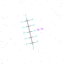 FC(F)(F)C(F)(F)C(F)(F)C(F)(F)C(F)(F)F.I.I